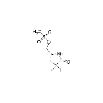 CS(=O)(=O)OCC1CC(F)(F)C(=O)N1